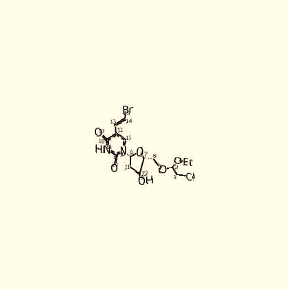 CCOC(CCl)OC[C@H]1O[C@@H](n2cc(/C=C/Br)c(=O)[nH]c2=O)C[C@@H]1O